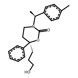 Cc1ccc([C@H](C)N2CC[C@](CCCO)(c3ccccc3)OC2=O)cc1